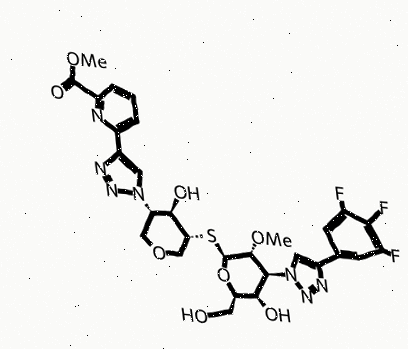 COC(=O)c1cccc(-c2cn([C@H]3COC[C@@H](S[C@@H]4O[C@H](CO)[C@H](O)[C@H](n5cc(-c6cc(F)c(F)c(F)c6)nn5)[C@H]4OC)[C@@H]3O)nn2)n1